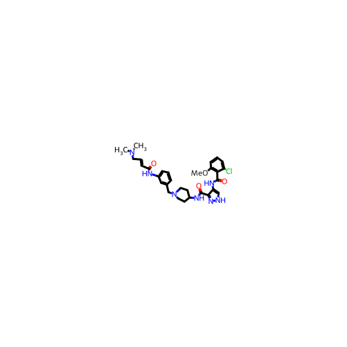 COc1cccc(Cl)c1C(=O)Nc1c[nH]nc1C(=O)NC1CCN(Cc2cccc(NC(=O)C=CCN(C)C)c2)CC1